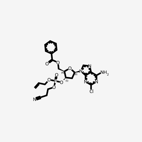 C=CCOP(=O)(OCCC#N)O[C@H]1C[C@H](n2cnc3c(N)nc(Cl)nc32)O[C@@H]1COC(=O)c1ccccc1